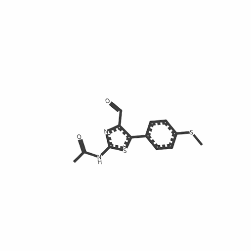 CSc1ccc(-c2sc(NC(C)=O)nc2C=O)cc1